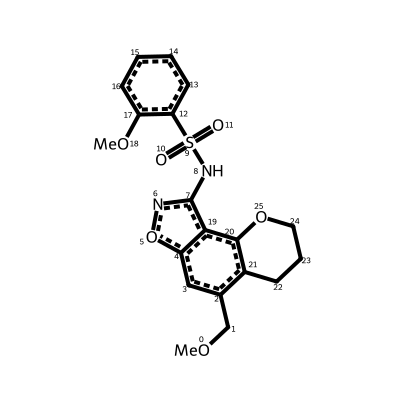 COCc1cc2onc(NS(=O)(=O)c3ccccc3OC)c2c2c1CCCO2